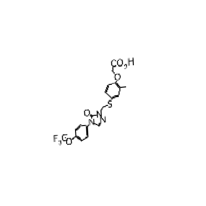 Cc1cc(SCn2ncn(-c3ccc(OC(F)(F)F)cc3)c2=O)ccc1OCC(=O)O